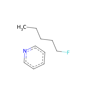 CCCCCF.c1ccncc1